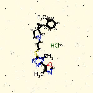 Cc1ncoc1-c1nnc(SCCCN2CC[C@]3(C[C@H]3c3ccccc3C(F)(F)F)C2)n1C.Cl